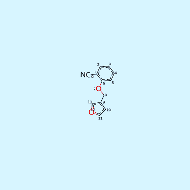 N#Cc1ccccc1OCc1ccoc1